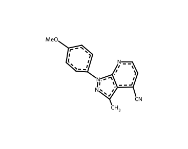 COc1ccc(-n2nc(C)c3c(C#N)ccnc32)cc1